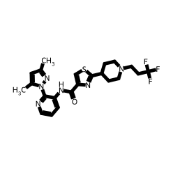 Cc1cc(C)n(-c2ncccc2NC(=O)c2csc(C3CCN(CCC(F)(F)F)CC3)n2)n1